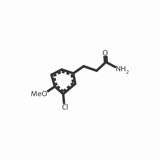 COc1ccc(CCC(N)=O)cc1Cl